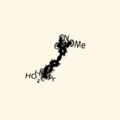 COCCOc1ccc(C#Cc2ccc(N3CCN(S(=O)(=O)N[C@@H](C(=O)O)C(C)C)CC3)cc2)cc1C(=O)NCC#N